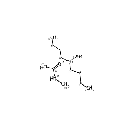 CCCCN(S)CCCC.CNC(=O)O